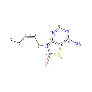 CC/C=C\Cn1c(=O)sc2c(N)ncnc21